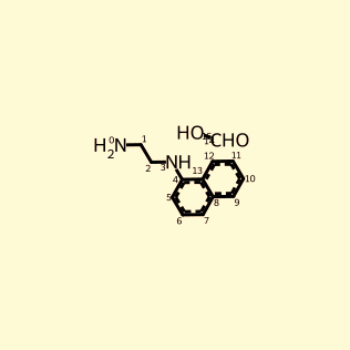 NCCNc1cccc2ccccc12.O=CO